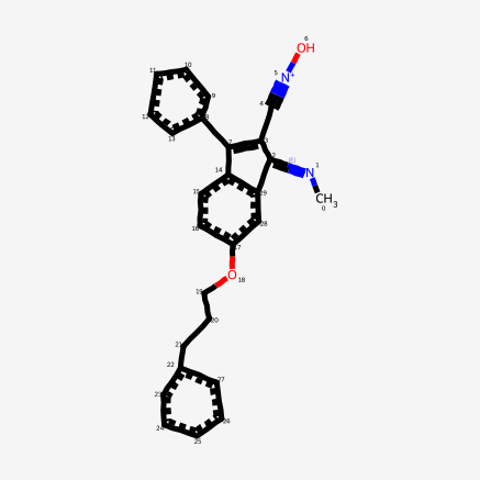 C/N=C1/C(C#[N+]O)=C(c2ccccc2)c2ccc(OCCCc3ccccc3)cc21